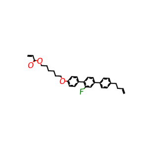 C=CCCc1ccc(-c2ccc(-c3ccc(OCCCCCCOC(=O)C=C)cc3)c(F)c2)cc1